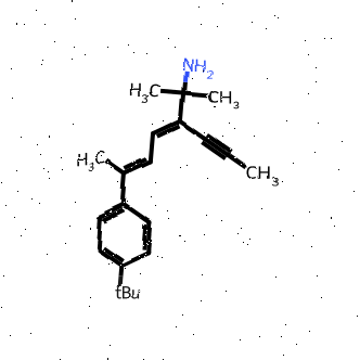 CC#C/C(=C\C=C(/C)c1ccc(C(C)(C)C)cc1)C(C)(C)N